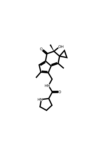 CC1=C(CNC(=O)C2CCCN2)C2=C(C)C3(CC3)[C@@](C)(O)C(=O)C2=C1